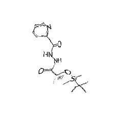 C[C@@H](O[Si](C)(C)C(C)(C)C)C(=O)NNC(=O)c1ccccn1